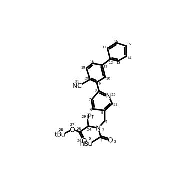 CCCCC(=O)N(Cc1ccc(-c2cc(-c3ccccc3)ccc2C#N)nc1)C(C(=O)OC(C)(C)C)C(C)C